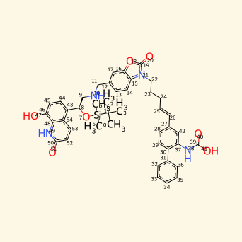 CC(C)(C)[Si](C)(C)O[C@H](CNCc1ccc2c(c1)oc(=O)n2CCC/C=C/c1ccc(-c2ccccc2)c(NC(=O)O)c1)c1ccc(O)c2[nH]c(=O)ccc12